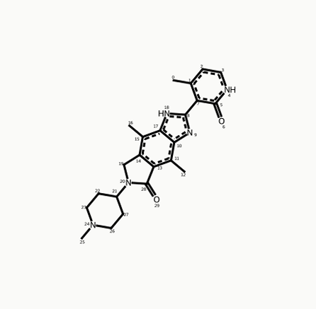 Cc1cc[nH]c(=O)c1-c1nc2c(C)c3c(c(C)c2[nH]1)CN(C1CCN(C)CC1)C3=O